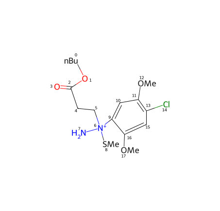 CCCCOC(=O)CC[N+](N)(SC)c1cc(OC)c(Cl)cc1OC